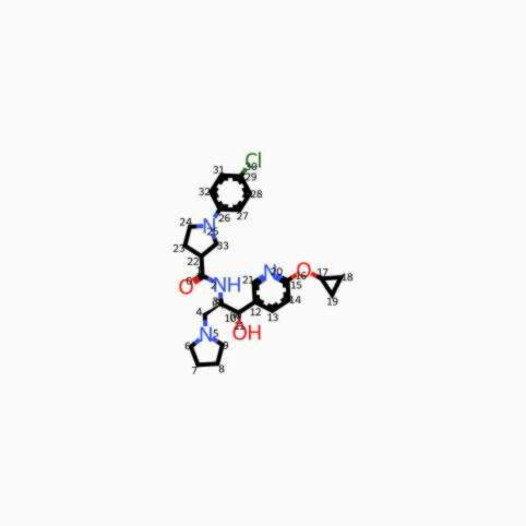 O=C(N[C@H](CN1CCCC1)[C@H](O)c1ccc(OC2CC2)nc1)C1CCN(c2ccc(Cl)cc2)C1